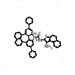 CC(Nc1sc2ccc3ccccc3c2c1N)N1c2cc(-c3ccccc3)cc3c2C2C(=CC(c4ccccc4)=CC21)c1cccc2cccc-3c12